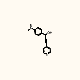 CN(C)c1ccc(C(O)C#Cc2ccncc2)cc1